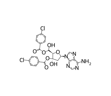 Nc1ncnc2c1ncn2[C@H]1C[C@@](O)(OC(=O)c2ccc(Cl)cc2)[C@@H](C(O)OC(=O)c2ccc(Cl)cc2)O1